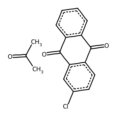 CC(C)=O.O=C1c2ccccc2C(=O)c2cc(Cl)ccc21